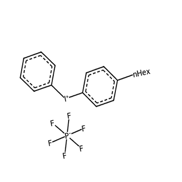 CCCCCCc1ccc([I+]c2ccccc2)cc1.F[P-](F)(F)(F)(F)F